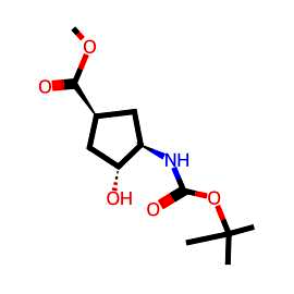 COC(=O)[C@@H]1C[C@@H](O)[C@H](NC(=O)OC(C)(C)C)C1